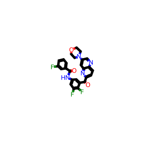 O=C(Nc1cc(F)c(F)c(C(=O)c2ccc3ncc(N4CCOCC4)cc3n2)c1)c1cccc(F)c1